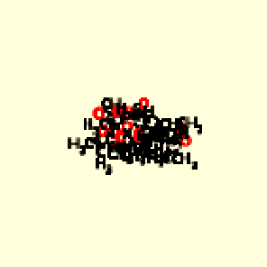 CCC1O[C@@H](OC2[C@H](O[C@H]3CCC4(C)C5CC=C6C7CC(C)(C)CC[C@]7(C(=O)Cl)C(OC)C[C@@]6(C)[C@@]5(C)CC[C@H]4[C@@]3(C)C=O)OC(C(C)=O)[C@@H](C)[C@@H]2O[C@@H]2OC[C@@H](C)[C@@H](C)C2C)C(O[Si](CC)(CC)CC)[C@@H](C)[C@@H]1C